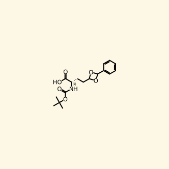 CC(C)(C)OC(=O)N[C@@H](CCC1OC(c2ccccc2)O1)C(=O)O